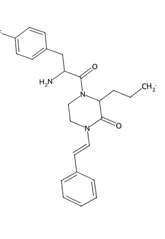 [CH2]CCC1C(=O)N(C=Cc2ccccc2)CCN1C(=O)C(N)Cc1ccc(F)cc1